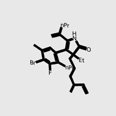 C=CC(C)CCCC1(CC)C(=O)NC(C(=C)CCC)=C1c1cc(C)c(Br)c(F)c1CCC